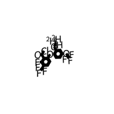 [2H]C([2H])([2H])Oc1cc(OC(F)(F)F)ccc1Oc1ccc(C(F)(F)F)c(F)c1C(=O)Cl